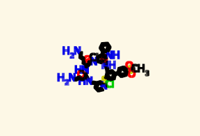 CN1C(=O)[C@H](CCCCN)NC(=O)[C@H](CCCN)NCc2cccnc2Sc2c(Cl)cc(-c3ccc(S(C)(=O)=O)cc3)cc2CNC(=O)[C@@H]1Cc1c[nH]c2ccccc12